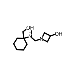 OCC1(NCN2CC(O)C2)CCCCC1